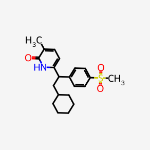 Cc1ccc(C(CC2CCCCC2)c2ccc(S(C)(=O)=O)cc2)[nH]c1=O